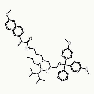 CCCOP(OC(COCCCNC(=O)C(C)c1ccc2cc(OC)ccc2c1)COC(c1ccccc1)(c1ccc(OC)cc1)c1ccc(OC)cc1)N(C(C)C)C(C)C